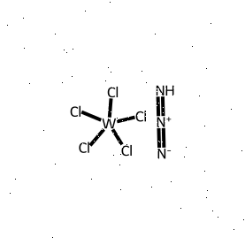 [Cl][W]([Cl])([Cl])([Cl])[Cl].[N-]=[N+]=N